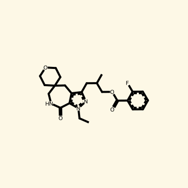 CCn1nc(CC(C)COC(=O)c2ccccc2F)c2c1C(=O)NCC1(CCOCC1)C2